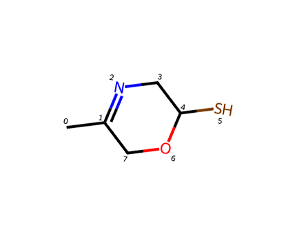 CC1=NCC(S)OC1